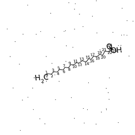 [CH2]CCCCCCCCCCCCCCCCCCCCCCC(=O)O